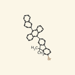 CC1(C)c2cc(Br)ccc2-c2ccc(-c3c4ccccc4c(-c4ccc5ccccc5c4)c4ccccc34)cc21